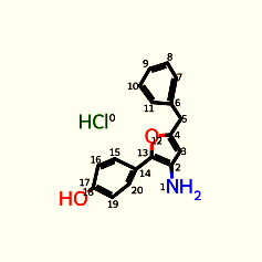 Cl.Nc1cc(Cc2ccccc2)oc1-c1ccc(O)cc1